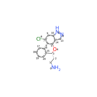 NCC[C@@H](Oc1cc(Cl)cc2[nH]ncc12)c1ccccc1